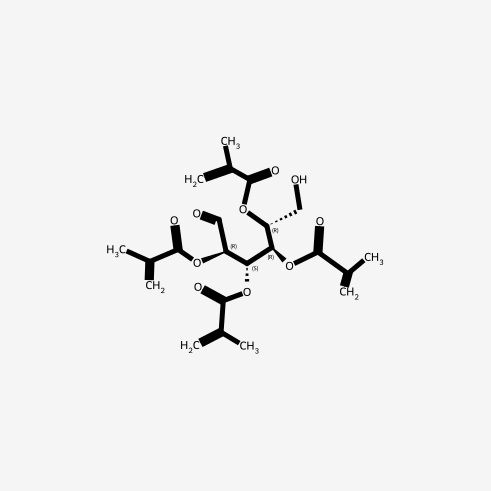 C=C(C)C(=O)O[C@@H]([C@H](OC(=O)C(=C)C)[C@@H](CO)OC(=O)C(=C)C)[C@H](C=O)OC(=O)C(=C)C